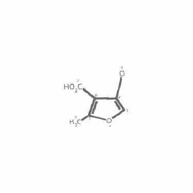 Cc1occ(Cl)c1C(=O)O